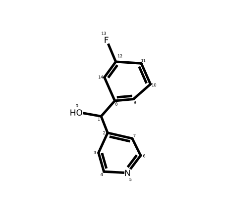 OC(c1ccncc1)c1cccc(F)c1